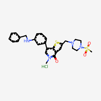 Cl.Cn1cc(-c2cccc(NCc3ccccc3)c2)c2sc(CN3CCN(S(C)(=O)=O)CC3)cc2c1=O